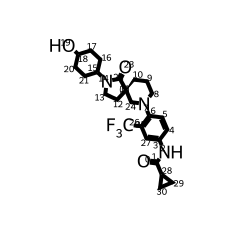 O=C(Nc1ccc(N2CCC[C@]3(CCN(C4CCC(O)CC4)C3=O)C2)c(C(F)(F)F)c1)C1CC1